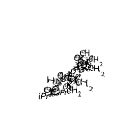 C=CC(=O)OCC(COCC(COC(=O)C=C)(COC(=O)C=C)COC(=O)NCCOC(=O)C(CC(C)C)C(C)C)(COC(=O)C=C)COC(=O)C=C